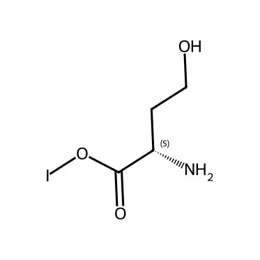 N[C@@H](CCO)C(=O)OI